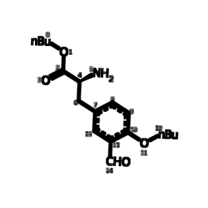 CCCCOC(=O)[C@@H](N)Cc1ccc(OCCCC)c(C=O)c1